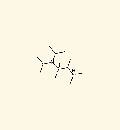 CC(C)N(C(C)C)[SiH](C)C(C)[SiH](C)C